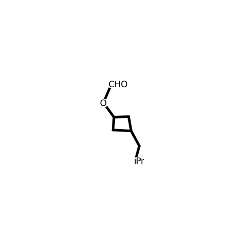 CC(C)CC1CC(OC=O)C1